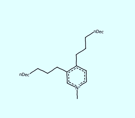 CCCCCCCCCCCCCc1cc[n+](C)cc1CCCCCCCCCCCCC